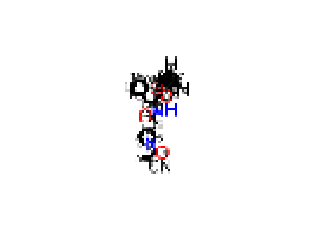 C=C(C#N)C(=O)N1CCC[C@@H](CC(=O)N[C@@H](Cc2ccccc2)B2O[C@@H]3C[C@@H]4C[C@@H](C4(C)C)[C@]3(C)O2)C1